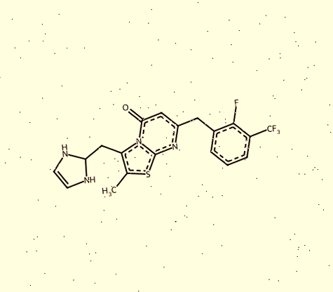 Cc1sc2nc(Cc3cccc(C(F)(F)F)c3F)cc(=O)n2c1CC1NC=CN1